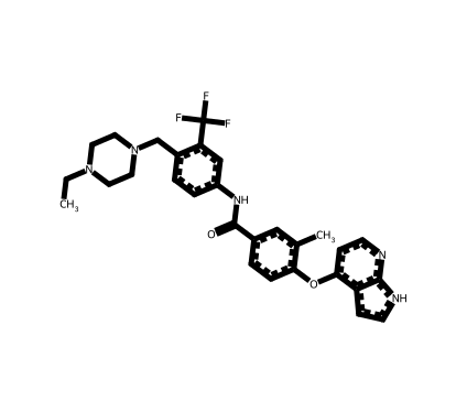 CCN1CCN(Cc2ccc(NC(=O)c3ccc(Oc4ccnc5[nH]ccc45)c(C)c3)cc2C(F)(F)F)CC1